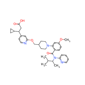 COc1ccc(C(=O)N(c2ccccn2)C(C)C(C)C)c(N2CCC(COc3cc(C(CC(=O)O)C4CC4)ccn3)CC2)c1